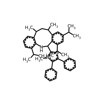 CC(C)c1cc(C(C)C)c2c(c1)C(C)CC(C)c1cccc(C(C)C)c1NC2c1nc(-c2ccccc2)c(-c2ccccc2)n1C